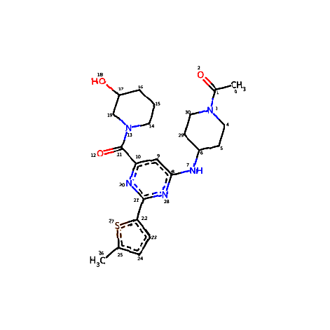 CC(=O)N1CCC(Nc2cc(C(=O)N3CCCC(O)C3)nc(-c3ccc(C)s3)n2)CC1